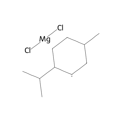 CC1C[CH]C(C(C)C)CC1.[Cl][Mg][Cl]